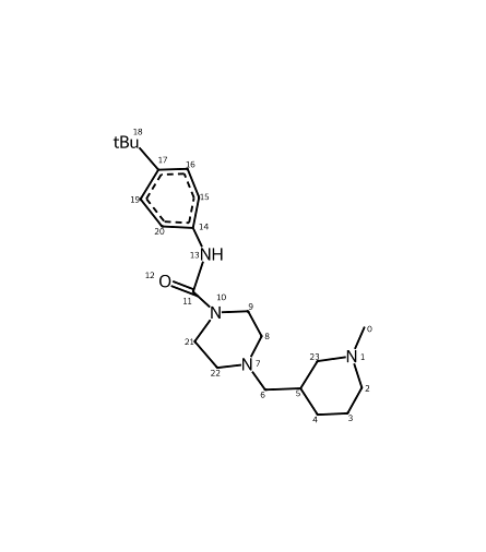 CN1CCCC(CN2CCN(C(=O)Nc3ccc(C(C)(C)C)cc3)CC2)C1